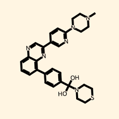 CN1CCN(c2ccc(-c3cnc4cccc(-c5ccc(C(O)(O)N6CCSCC6)cc5)c4n3)cn2)CC1